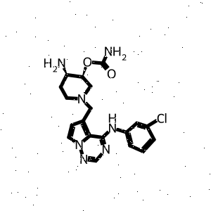 NC(=O)O[C@H]1CN(Cc2ccn3ncnc(Nc4cccc(Cl)c4)c23)CC[C@H]1N